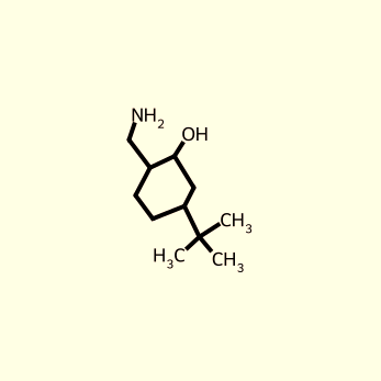 CC(C)(C)C1CCC(CN)C(O)C1